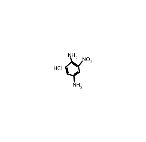 Cl.Nc1ccc(N)c([N+](=O)[O-])c1